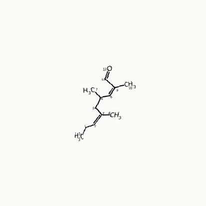 CCC=C(C)CC(C)C=C(C)C=O